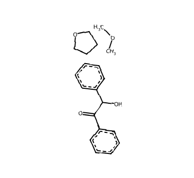 C1CCOC1.COC.O=C(c1ccccc1)C(O)c1ccccc1